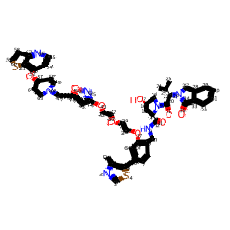 Cc1ncsc1-c1ccc(CNC(=O)[C@@H]2C[C@@H](O)CN2C(=O)[C@H](C(C)C)N2Cc3ccccc3C2=O)c(OCCOCCOc2cc(CN3CCC(Oc4ccnc5ccsc45)CC3)on2)c1